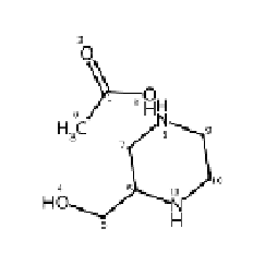 CC(=O)O.OCC1CNCCN1